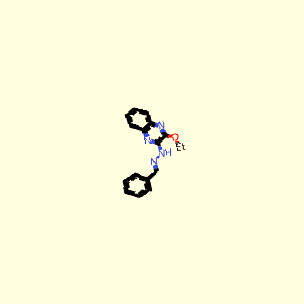 CCOc1nc2ccccc2nc1N/N=C/c1ccccc1